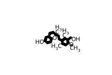 COc1cc(C)c(CCC2(C)C=Cc3cc(O)ccc3O2)c(C)c1CO